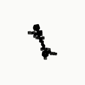 COC(=O)c1cc(Cl)ccc1NC(=O)CCCCC(=O)Nc1scc(-c2ccccc2)c1C(=O)OC(C)(C)C